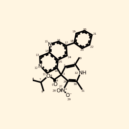 CC1=CC(C(=O)OC(C)C)(c2cncc3ncc(-c4ccccc4)cc23)C([N+](=O)[O-])=C(C)N1